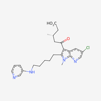 C[C@H](CC(=O)O)CC(=O)c1c(CCCCCNc2cccnc2)n(C)c2ncc(Cl)cc12